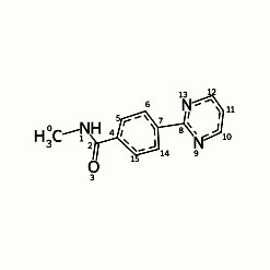 CNC(=O)c1ccc(-c2ncccn2)cc1